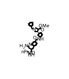 CCCN(CCC)C(=O)C1=Cc2ccc(C(=O)Nc3cccc([C@H]4CN(Cc5ccccc5)CC4C(=O)OC)c3)cc2N=C(N)C1